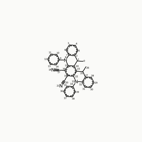 CC1c2ccccc2N(c2ccccc2)c2c(C#N)c(C#N)c3c(c21)C(C)c1ccccc1N3c1ccccc1